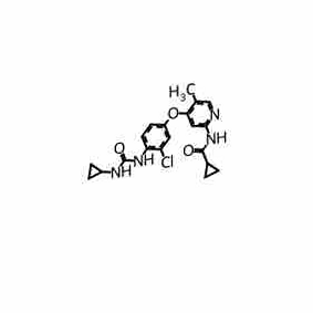 Cc1cnc(NC(=O)C2CC2)cc1Oc1ccc(NC(=O)NC2CC2)c(Cl)c1